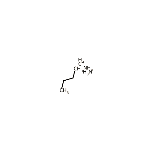 C.CCCC.N.N